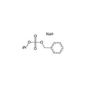 CC(C)OS(=O)(=O)OCc1ccccc1.[NaH]